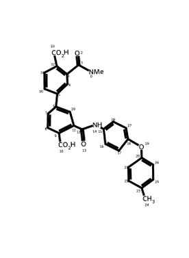 CNC(=O)c1cc(-c2ccc(C(=O)O)c(C(=O)Nc3ccc(Oc4ccc(C)cc4)cc3)c2)ccc1C(=O)O